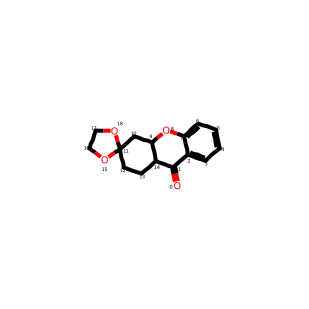 O=C1c2ccccc2OC2CC3(CCC12)OCCO3